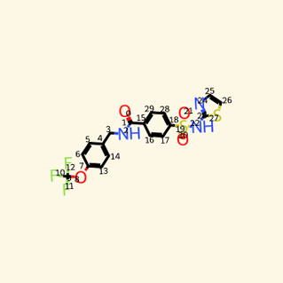 O=C(NCc1ccc(OC(F)(F)F)cc1)c1ccc(S(=O)(=O)Nc2nccs2)cc1